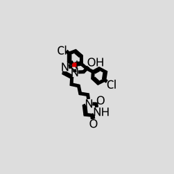 O=c1ccn(CCCCc2cnnn2CC(O)(c2ccc(Cl)cc2)c2ccc(Cl)cc2)c(=O)[nH]1